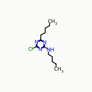 CCCCCNc1nc(Cl)nc(CCCCC)n1